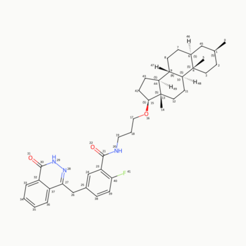 C[C@H]1CC[C@@]2(C)[C@@H](CC[C@@H]3[C@@H]2CC[C@]2(C)[C@@H](OCCCNC(=O)c4cc(Cc5n[nH]c(=O)c6ccccc56)ccc4F)CC[C@@H]32)C1